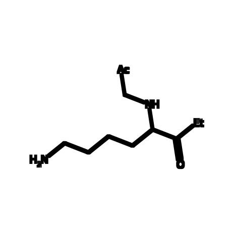 CCC(=O)C(CCCCN)NCC(C)=O